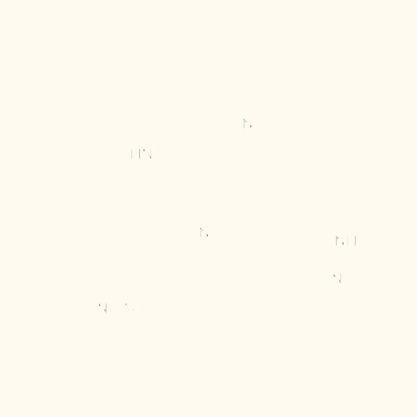 CC(=O)Nc1cccc(C2=C(C#N)C(c3ccc4[nH]ncc4c3)C(C#N)=C(C)N2)c1